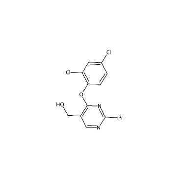 CC(C)c1ncc(CO)c(Oc2ccc(Cl)cc2Cl)n1